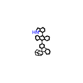 c1ccc2c(c1)-c1cc(-c3c4ccccc4c(-c4cccc5cc[nH]c45)c4ccccc34)ccc1C21C2CC3CC(C2)CC1C3